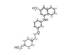 Cc1cc(Nc2cccc(OCCN3CCC(C(=O)O)CC3)c2)c2ccccc2n1